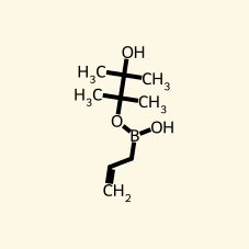 C=CCB(O)OC(C)(C)C(C)(C)O